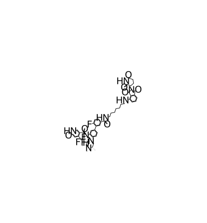 C[C@@H]1CN(c2ccc(-c3cc(C(=O)NCCCCCCCNc4cccc5c4C(=O)N(C4CCC(=O)NC4=O)C5=O)ccc3F)cc2NC(=O)c2c[nH]c(=O)cc2C(F)(F)F)C[C@H](C)N1C